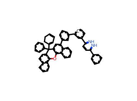 N=C(/C=C\C(=N)c1cccc(-c2cccc(-c3cc4c(c5ccccc35)Oc3c(ccc5ccccc35)C4(C3=CC=CCC3)c3ccccc3)c2)c1)c1ccccc1